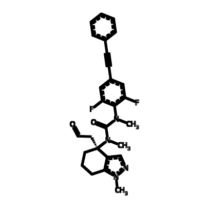 CN(C(=O)N(C)[C@]1(CC=O)CCCc2c1cnn2C)c1c(F)cc(C#Cc2ccccc2)cc1F